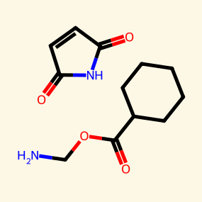 NCOC(=O)C1CCCCC1.O=C1C=CC(=O)N1